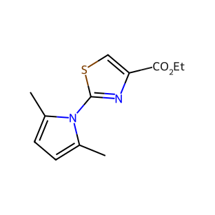 CCOC(=O)c1csc(-n2c(C)ccc2C)n1